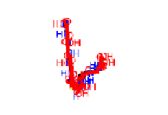 CC(=O)N(O)CCCCCNC(=O)CCC(=O)N(O)CCCCCNC(=O)CCC(=O)N(O)CCCCCNC(=O)CCN1C(=O)CC(SC[C@@H](C)NC(=O)[C@H](CC(=O)O)NC(=O)[C@H](CC(=O)O)NC(=O)Cc2ccc(CNC(=O)NCCCC[C@@H](C)NC(=O)N[C@@H](CCC(=O)O)C(=O)O)cc2)C1=O